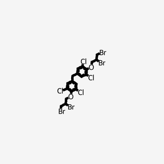 Clc1cc(Cc2cc(Cl)c(OCC(Br)CBr)c(Cl)c2)cc(Cl)c1OCC(Br)CBr